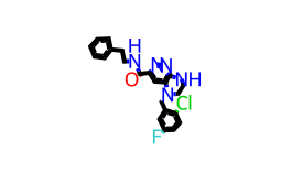 O=C(NCCc1ccccc1)c1cc2c(nn1)NCCN2Cc1cc(F)ccc1Cl